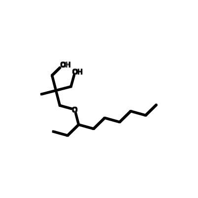 CCCCCCC(CC)OCC(C)(CO)CO